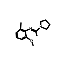 COc1cccc(C)c1N=C(C)N1CCCC1